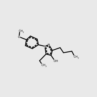 CCCCc1nn(-c2ccc(OC)cc2)c(CC)c1O